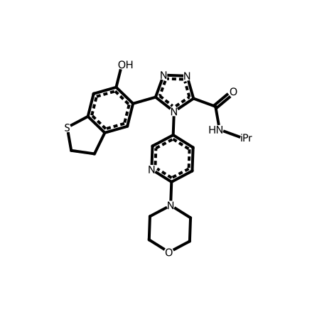 CC(C)NC(=O)c1nnc(-c2cc3c(cc2O)SCC3)n1-c1ccc(N2CCOCC2)nc1